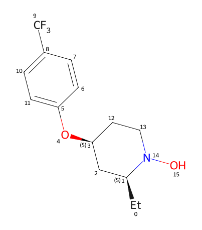 CC[C@H]1C[C@@H](Oc2ccc(C(F)(F)F)cc2)CCN1O